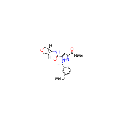 CNC(=O)c1cc(C(=O)N[C@H]2[C@@H]3COC[C@@H]32)n([C@@H](C)c2cccc(OC)c2)n1